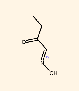 CCC(=O)/C=N/O